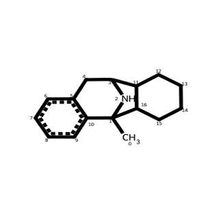 CC12NC(Cc3ccccc31)C1CCCCC12